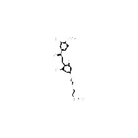 COCCOCCOc1cc(O)c(CCC(=O)c2ccc(OC)c(O)c2)c(O)c1